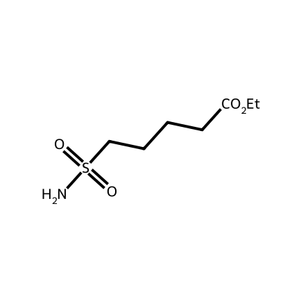 CCOC(=O)CCCCS(N)(=O)=O